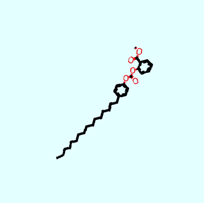 CCCCCCCCCCCCCCCCc1ccc(OC(=O)Oc2ccccc2C(=O)OC)cc1